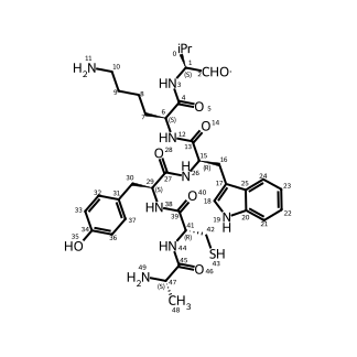 CC(C)[C@@H]([C]=O)NC(=O)[C@H](CCCCN)NC(=O)[C@@H](Cc1c[nH]c2ccccc12)NC(=O)[C@H](Cc1ccc(O)cc1)NC(=O)[C@H](CS)NC(=O)[C@H](C)N